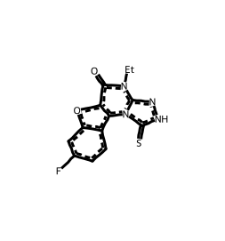 CCn1c(=O)c2oc3cc(F)ccc3c2n2c(=S)[nH]nc12